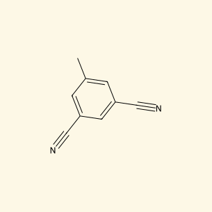 Cc1cc(C#N)cc(C#N)c1